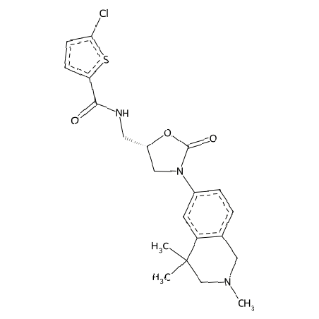 CN1Cc2ccc(N3C[C@H](CNC(=O)c4ccc(Cl)s4)OC3=O)cc2C(C)(C)C1